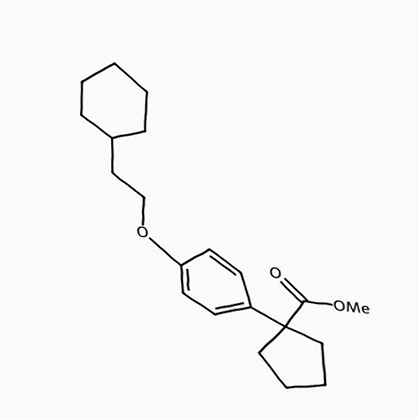 COC(=O)C1(c2ccc(OCCC3CCCCC3)cc2)CCCC1